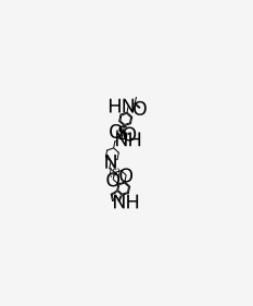 CC(=O)Nc1ccc(S(=O)(=O)NCC2CCN(C[C@H]3COc4ccc5[nH]ccc5c4O3)CC2)cc1